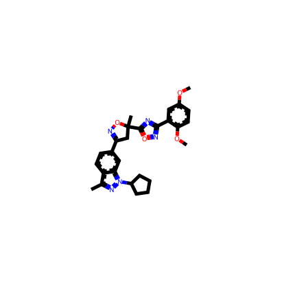 COc1ccc(OC)c(-c2noc(C3(C)CC(c4ccc5c(C)nn(C6CCCC6)c5c4)=NO3)n2)c1